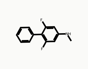 CNc1cc(F)c(-c2ccccc2)c(F)c1